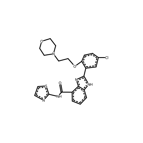 O=C(Nc1nccs1)c1cccc2[nH]c(-c3cc(Cl)ccc3OCCN3CCOCC3)nc12